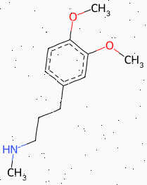 CNCCCc1ccc(OC)c(OC)c1